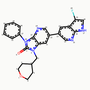 O=c1n(CC2CCOCC2)c2cc(-c3cnc4[nH]cc(F)c4c3)cnc2n1-c1ccccc1